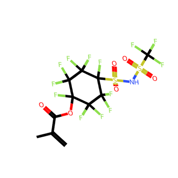 C=C(C)C(=O)OC1(F)C(F)(F)C(F)(F)C(F)(S(=O)(=O)NS(=O)(=O)C(F)(F)F)C(F)(F)C1(F)F